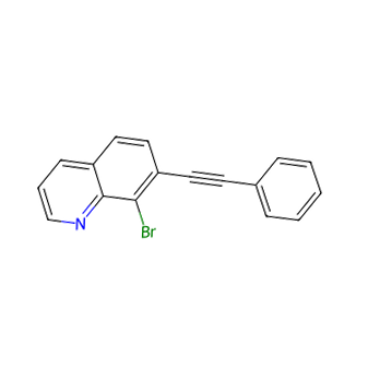 Brc1c(C#Cc2ccccc2)ccc2cccnc12